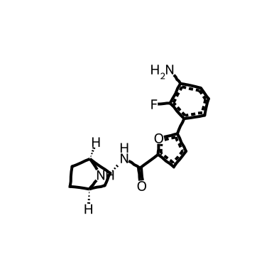 Nc1cccc(-c2ccc(C(=O)N[C@@H]3C[C@H]4CC[C@@H]3N4)o2)c1F